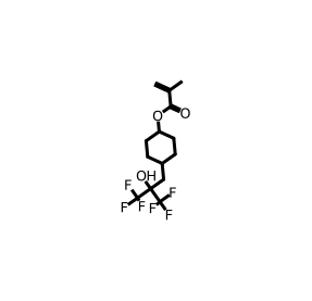 C=C(C)C(=O)OC1CCC(CC(O)(C(F)(F)F)C(F)(F)F)CC1